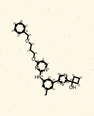 Cc1cc(Nc2nccc(OCCCOCc3ccccc3)n2)cc(-c2cnc(C3(O)CCC3)s2)c1